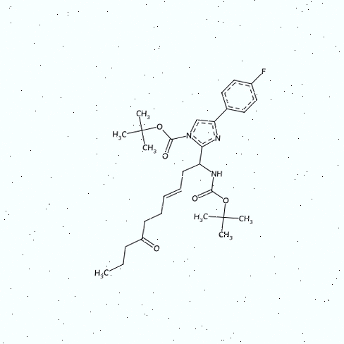 CCCC(=O)CC/C=C/CC(NC(=O)OC(C)(C)C)c1nc(-c2ccc(F)cc2)cn1C(=O)OC(C)(C)C